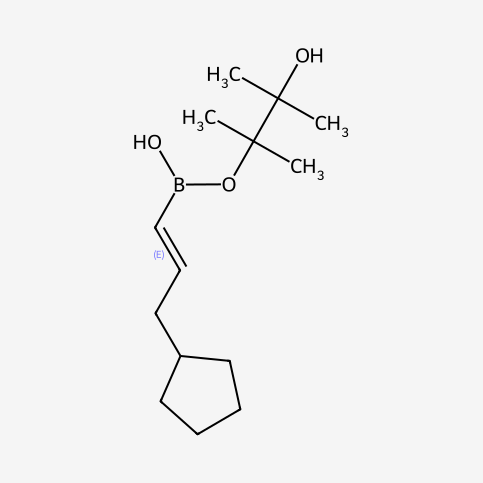 CC(C)(O)C(C)(C)OB(O)/C=C/CC1CCCC1